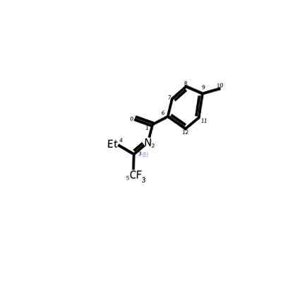 C=C(/N=C(\CC)C(F)(F)F)c1ccc(C)cc1